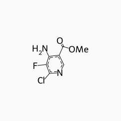 COC(=O)c1cnc(Cl)c(F)c1N